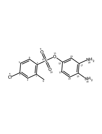 Cc1cc(Cl)ccc1S(=O)(=O)Oc1ccc(N)c(N)c1